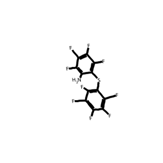 Nc1c(F)c(F)c(F)c(F)c1Sc1c(F)c(F)c(F)c(F)c1F